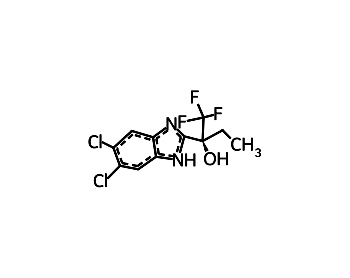 CC[C@](O)(c1nc2cc(Cl)c(Cl)cc2[nH]1)C(F)(F)F